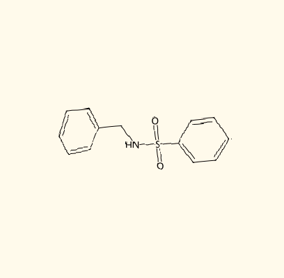 O=S(=O)(NCc1ccccc1)c1cc[c]cc1